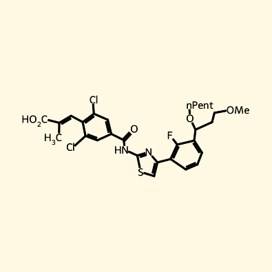 CCCCCOC(CCOC)c1cccc(-c2csc(NC(=O)c3cc(Cl)c(C=C(C)C(=O)O)c(Cl)c3)n2)c1F